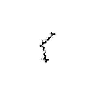 CC(C)SCCOCC(=O)N(C)CCOCCC(=O)C(C)C